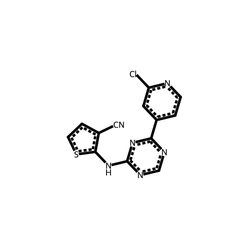 N#Cc1ccsc1Nc1ncnc(-c2ccnc(Cl)c2)n1